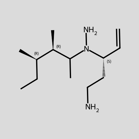 C=C[C@H](CCN)N(N)C(C)[C@H](C)[C@H](C)CC